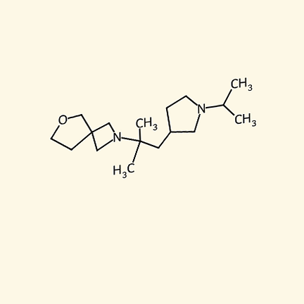 CC(C)N1CCC(CC(C)(C)N2CC3(CCOC3)C2)C1